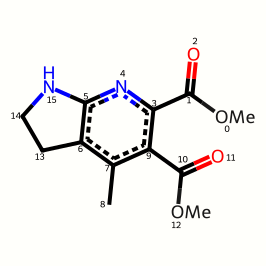 COC(=O)c1nc2c(c(C)c1C(=O)OC)CCN2